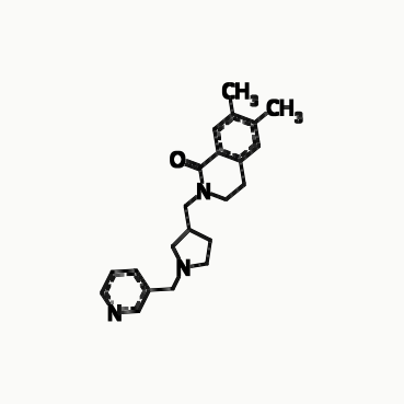 Cc1cc2c(cc1C)C(=O)N(CC1CCN(Cc3cccnc3)C1)CC2